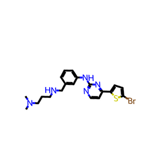 CN(C)CCCNCc1cccc(Nc2nccc(-c3ccc(Br)s3)n2)c1